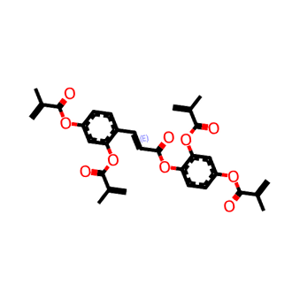 C=C(C)C(=O)Oc1ccc(/C=C/C(=O)Oc2ccc(OC(=O)C(=C)C)cc2OC(=O)C(=C)C)c(OC(=O)C(=C)C)c1